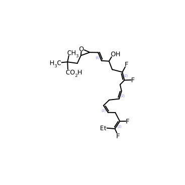 CC/C(F)=C(/F)C/C=C\C/C=C\C/C(F)=C(/F)CC(O)/C=C/C1OC1CC(C)(C)C(=O)O